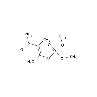 COP(=O)(OC)OC(C)=C(C)C(N)=O